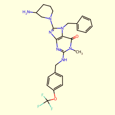 Cn1c(NCc2ccc(OC(F)(F)F)cc2)nc2nc(N3CCCC(N)C3)n(Cc3ccccc3)c2c1=O